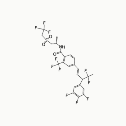 C[C@H](CS(=O)(=O)CC(F)(F)F)NC(=O)c1ccc(/C=C/C(c2cc(F)c(F)c(F)c2)C(C)(F)F)cc1C(F)(F)F